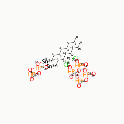 CCCCCCC[CH2][Sn+3].CCCCCCC[CH2][Sn+3].ClCCl.O=[PH]([O-])O[PH](=O)[O-].O=[PH]([O-])O[PH](=O)[O-].O=[PH]([O-])O[PH](=O)[O-]